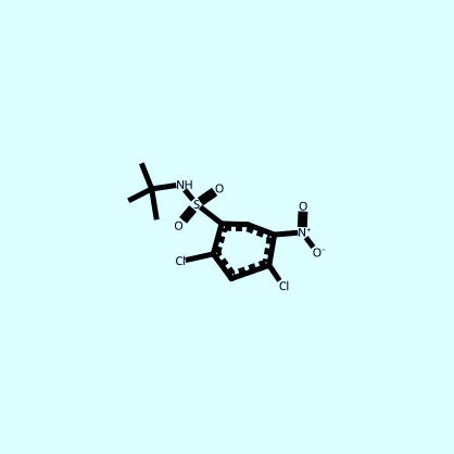 CC(C)(C)NS(=O)(=O)c1cc([N+](=O)[O-])c(Cl)cc1Cl